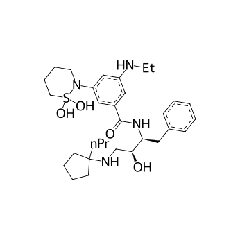 CCCC1(NC[C@H](O)[C@H](Cc2ccccc2)NC(=O)c2cc(NCC)cc(N3CCCCS3(O)O)c2)CCCC1